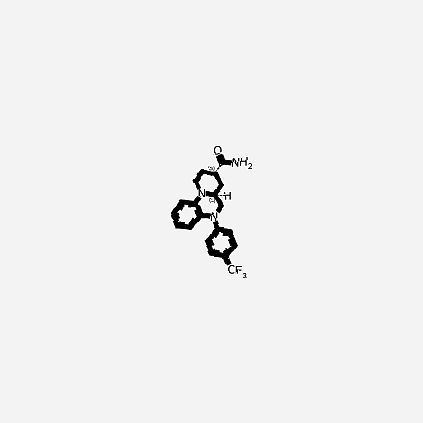 NC(=O)[C@H]1CCN2c3ccccc3N(c3ccc(C(F)(F)F)cc3)C[C@@H]2C1